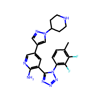 Cc1ccc(-n2nnnc2-c2cc(-c3cnn(C4CCNCC4)c3)cnc2N)c(F)c1F